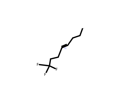 [CH2]CC/C=C/CCC(F)(F)F